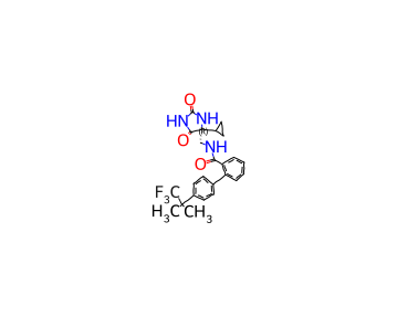 CC(C)(c1ccc(-c2ccccc2C(=O)NC[C@@]2(C3CC3)NC(=O)NC2=O)cc1)C(F)(F)F